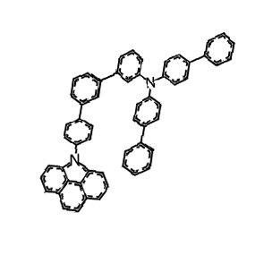 c1ccc(-c2ccc(N(c3ccc(-c4ccccc4)cc3)c3cccc(-c4cccc(-c5ccc(-n6c7cccc8ccc9cccc6c9c87)cc5)c4)c3)cc2)cc1